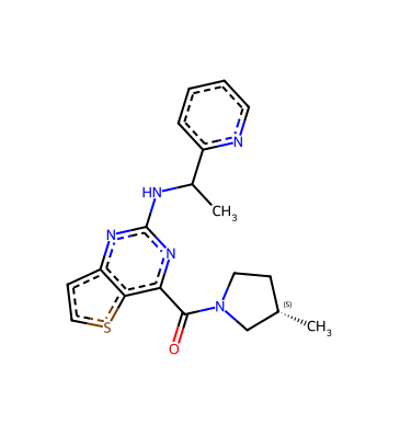 CC(Nc1nc(C(=O)N2CC[C@H](C)C2)c2sccc2n1)c1ccccn1